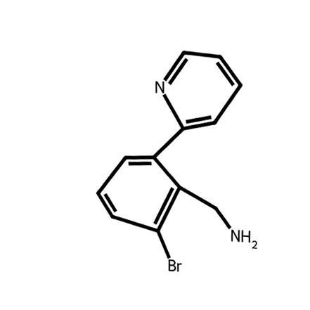 NCc1c(Br)cccc1-c1ccccn1